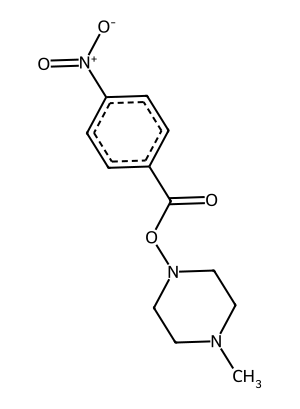 CN1CCN(OC(=O)c2ccc([N+](=O)[O-])cc2)CC1